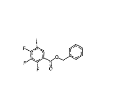 O=C(OCc1ccccc1)c1cc(I)c(F)c(F)c1F